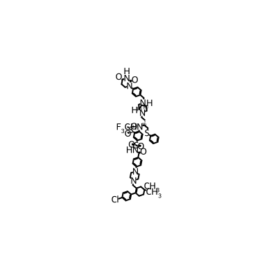 CC1(C)CCC(c2ccc(Cl)cc2)=C(CN2CCN(c3ccc(C(=O)NS(=O)(=O)c4ccc(N[C@H](CCN5C[C@H]6C[C@@H]5CN6Cc5ccc(N6CCC(=O)NC6=O)cc5)CSc5ccccc5)c(S(=O)(=O)C(F)(F)F)c4)cc3)CC2)C1